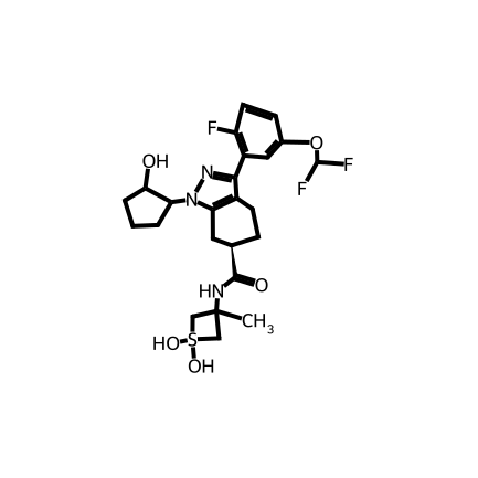 CC1(NC(=O)[C@@H]2CCc3c(-c4cc(OC(F)F)ccc4F)nn(C4CCCC4O)c3C2)CS(O)(O)C1